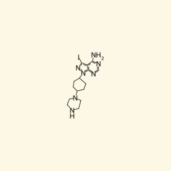 Nc1ncnc2c1c(I)nn2C1CCC(N2CCNCC2)CC1